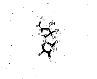 O=c1[nH]c(=S)c(F)cn1[C@@H]1O[C@H](CO)[C@H](O)C1(O)C(F)(F)F